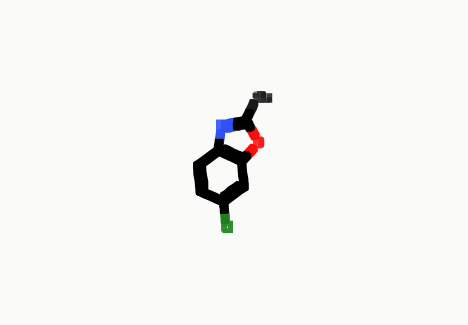 CC(C)(C)c1nc2ccc(Cl)cc2o1